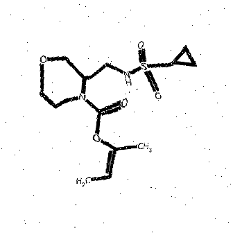 C/C=C(/C)OC(=O)N1CCOCC1CNS(=O)(=O)C1CC1